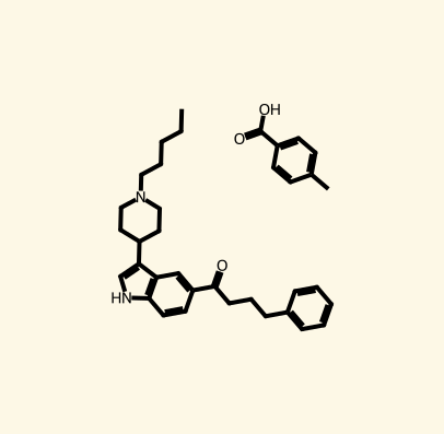 CCCCCN1CCC(c2c[nH]c3ccc(C(=O)CCCc4ccccc4)cc23)CC1.Cc1ccc(C(=O)O)cc1